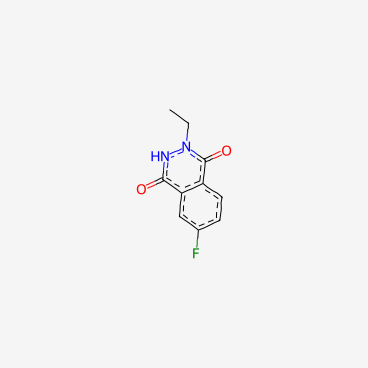 CCn1[nH]c(=O)c2cc(F)ccc2c1=O